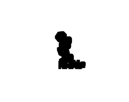 COC(=O)C(CNC(C)=O)c1ccc(OS(=O)(=O)c2ccccc2)cc1